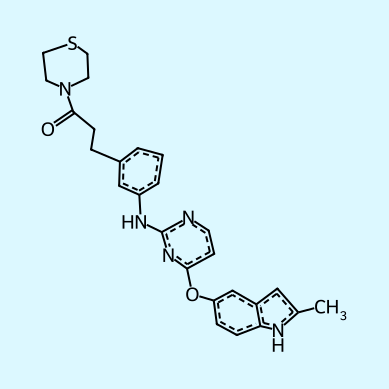 Cc1cc2cc(Oc3ccnc(Nc4cccc(CCC(=O)N5CCSCC5)c4)n3)ccc2[nH]1